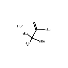 Br.C=C(CCCC)C(P)(CCCC)CCCC